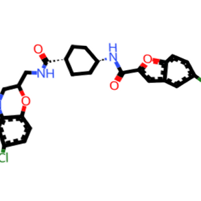 O=C(N[C@H]1CC[C@@H](C(=O)NCC2CNc3cc(Cl)ccc3O2)CC1)c1cc2cc(Cl)ccc2o1